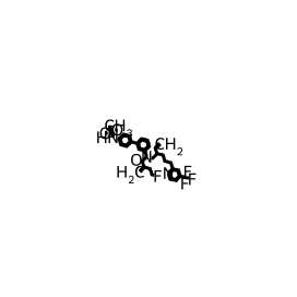 C=CC(CCCc1cc(C(F)(F)F)ccn1)CN(C(=O)C(=C)CCF)c1cccc(-c2ccc(NS(C)(=O)=O)cc2)c1